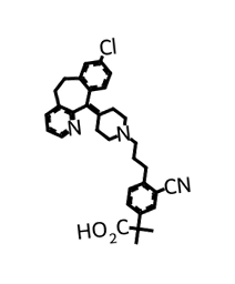 CC(C)(C(=O)O)c1ccc(CCCN2CCC(=C3c4ccc(Cl)cc4CCc4cccnc43)CC2)c(C#N)c1